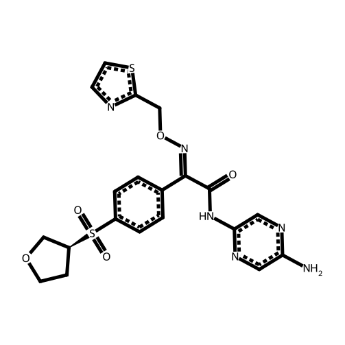 Nc1cnc(NC(=O)/C(=N/OCc2nccs2)c2ccc(S(=O)(=O)[C@H]3CCOC3)cc2)cn1